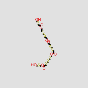 O=C(CSCO)OCCSCSCCOOCCSCSCC(=O)OCSCSCSCC(=O)OCSCO